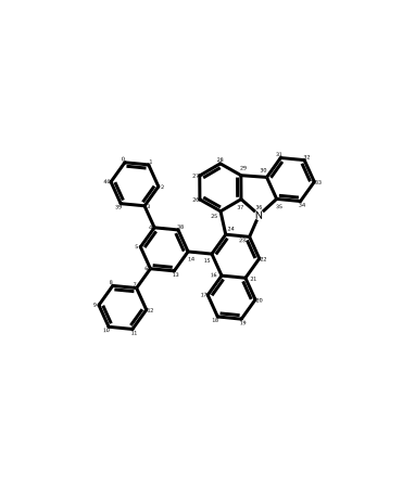 c1ccc(-c2cc(-c3ccccc3)cc(-c3c4ccccc4cc4c3c3cccc5c6ccccc6n4c53)c2)cc1